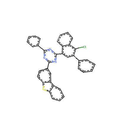 Clc1c(-c2ccccc2)cc(-c2nc(-c3ccccc3)nc(-c3ccc4sc5ccccc5c4c3)n2)c2ccccc12